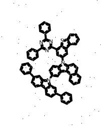 c1ccc(-c2ccc3c4ccc(-c5ccccc5)cc4n(-c4ccc5c(c4)c4c6ccccc6ccc4n5-c4cc(-c5nc(-c6ccccc6)nc(-c6ccccc6)n5)c5sc6ccccc6c5c4)c3c2)cc1